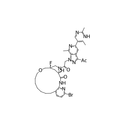 CC=C(/C=N\C(C)=N)c1cc2c(C(C)=O)nn(CC(=O)N3C[C@@]4(F)COCCCCCCCc5ccc(Br)nc5NC(=O)[C@@H]3C4)c2c(C)n1